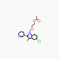 CC(=O)OCCOCn1c(-c2cccnc2)c(C)c2cc(Cl)ccc21